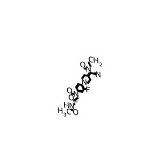 C=CCN(C=O)C(C#N)=C1CCN(c2ccc(N3C[C@H](CNC(C)=O)OC3=O)cc2F)CC1